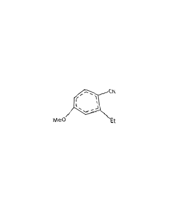 CCc1cc(OC)ccc1C#N